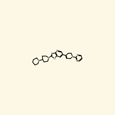 C1=C(c2cnc3nc(N4CCC(N5CCCCC5)CC4)oc3c2)CCN(c2ncccn2)C1